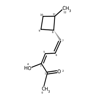 CC(=O)/C(O)=C\C=C/[C@@H]1CCC1C